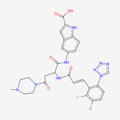 CN1CCN(C(=O)CC(NC(=O)C=Cc2c(-n3cnnn3)ccc(Cl)c2F)C(=O)Nc2ccc3[nH]c(C(=O)O)cc3c2)CC1